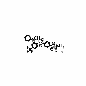 CN(c1cc(C(F)(F)F)ccc1NS(=O)(=O)c1ccc(S(=O)(=O)N(C)C)cc1)C1CCCCC1